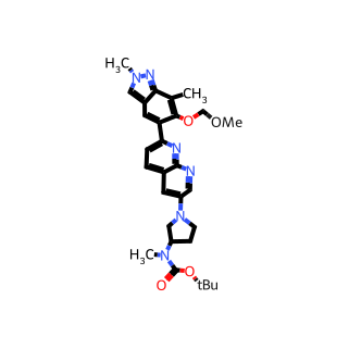 COCOc1c(-c2ccc3cc(N4CCC(N(C)C(=O)OC(C)(C)C)C4)cnc3n2)cc2cn(C)nc2c1C